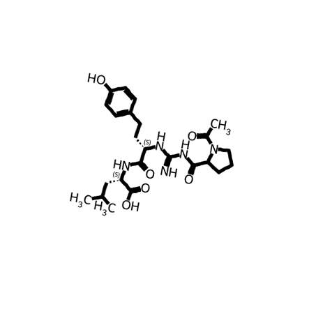 CC(=O)N1CCCC1C(=O)NC(=N)N[C@@H](CCc1ccc(O)cc1)C(=O)N[C@@H](CC(C)C)C(=O)O